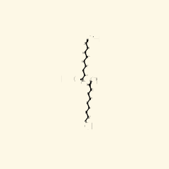 CCCCCCCCCC(C)OC(C)CCCCCCCCC